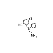 N#Cc1ccc(Cl)cc1CN(CCN)c1ccccc1